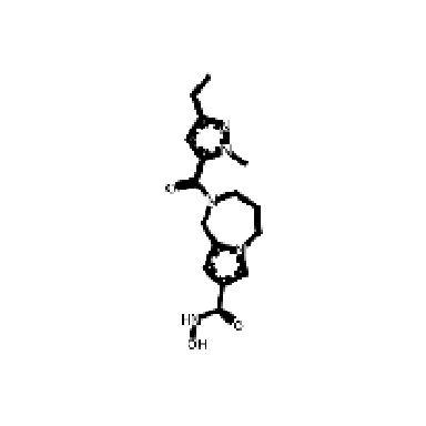 CCc1cc(C(=O)N2CCCn3cc(C(=O)NO)cc3C2)n(C)n1